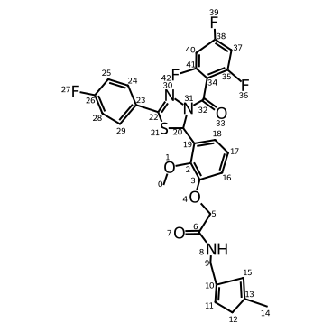 COc1c(OCC(=O)NCC2=CCC(C)=C2)cccc1C1SC(c2ccc(F)cc2)=NN1C(=O)c1c(F)cc(F)cc1F